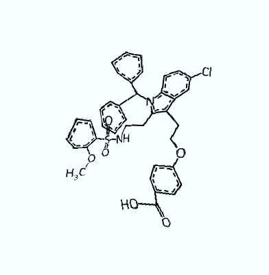 COc1ccccc1S(=O)(=O)NCCc1c(CCOc2ccc(C(=O)O)cc2)c2cc(Cl)ccc2n1C(c1ccccc1)c1ccccc1